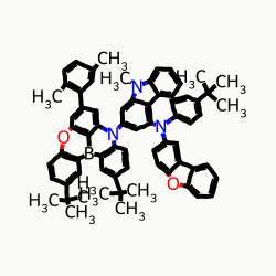 Cc1ccc(C)c(-c2cc3c4c(c2)N(c2cc(N(c5ccc(C(C)(C)C)cc5)c5ccc6oc7ccccc7c6c5)c5c6ccccc6n(C)c5c2)c2ccc(C(C)(C)C)cc2B4c2cc(C(C)(C)C)ccc2O3)c1